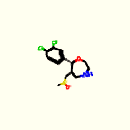 C[S+]([O-])C[C@@H]1CNCCO[C@H]1c1ccc(Cl)c(Cl)c1